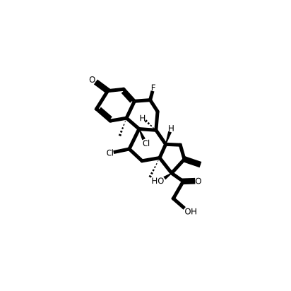 C=C1C[C@H]2[C@@H]3CC(F)C4=CC(=O)C=C[C@]4(C)[C@@]3(Cl)C(Cl)C[C@]2(C)[C@@]1(O)C(=O)CO